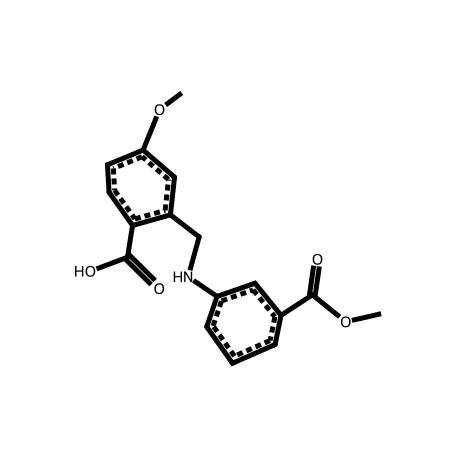 COC(=O)c1cccc(NCc2cc(OC)ccc2C(=O)O)c1